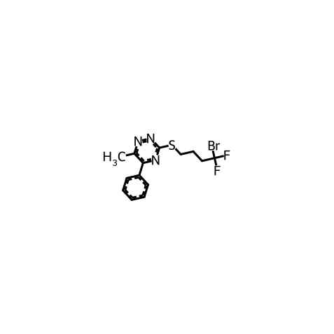 Cc1nnc(SCCCC(F)(F)Br)nc1-c1ccccc1